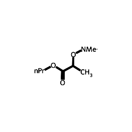 CCCOC(=O)C(C)O[N]C